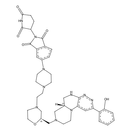 O=C1CCC(N2C(=O)c3ccc(N4CCN(CCN5CCO[C@H](CN6CCN7c8cc(-c9ccccc9O)nnc8NC[C@H]7C6)C5)CC4)cc3C2=O)C(=O)N1